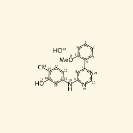 COc1ccccc1-c1cc(Nc2ccc(Cl)c(O)c2)ncn1.Cl